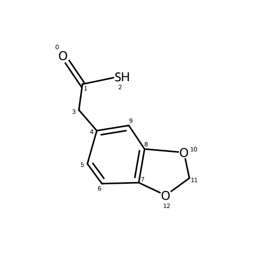 O=C(S)Cc1ccc2c(c1)OCO2